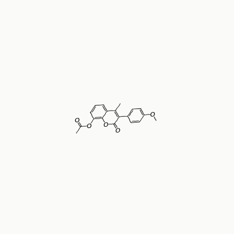 COc1ccc(-c2c(C)c3cccc(OC(C)=O)c3oc2=O)cc1